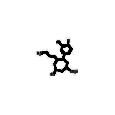 CC(C)(C)C1CN(C(=O)O)CC(c2ccc(Cl)c(Cl)c2)C(CCCN)O1